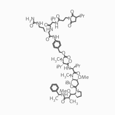 CC[C@H](C)[C@@H]([C@@H](CC(=O)N1CCC[C@H]1[C@H](OC)[C@@H](C)C(=O)N[C@H](C)c1ccccc1)OC)N(C)C(=O)[C@@H](NC(=O)[C@H](C(C)C)N(C)C(=O)OCc1ccc(NC(=O)[C@H](CCCNC(N)=O)NC(=O)[C@@H](NC(=O)CCN2C(=O)CC(C(C)C)C2=O)C(C)C)cc1)C(C)C